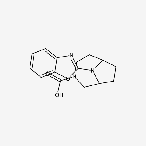 O=C(O)N1CCC2CCC(C1)N2c1nc2ccccc2o1